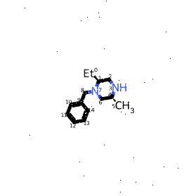 CC[C@H]1CN[C@H](C)CN1Cc1ccccc1